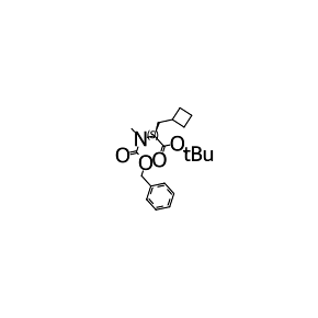 CN(C(=O)OCc1ccccc1)[C@@H](CC1CCC1)C(=O)OC(C)(C)C